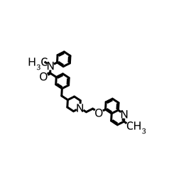 Cc1ccc2c(OCCN3CCC(Cc4cccc(C(=O)N(C)c5ccccc5)c4)CC3)cccc2n1